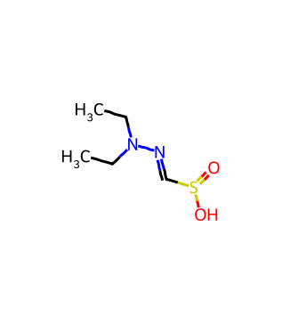 CCN(CC)/N=C/S(=O)O